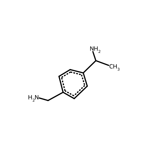 CC(N)c1ccc(CN)cc1